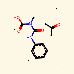 CC(C)=O.CN(C(=O)O)C(=O)Nc1ccccc1